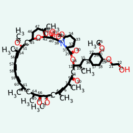 COC1CC(C)=CC(C)C(=O)CC([C@H](C)C[C@@H]2CC[C@@H](OCCO)[C@H](OC)C2)OC(=O)C2CCCC(O)N2C(=O)C(=O)C2(O)OC(CCC2C)CC(OC)C(C)=CC=CC=CC(C)CC(C)C1=O